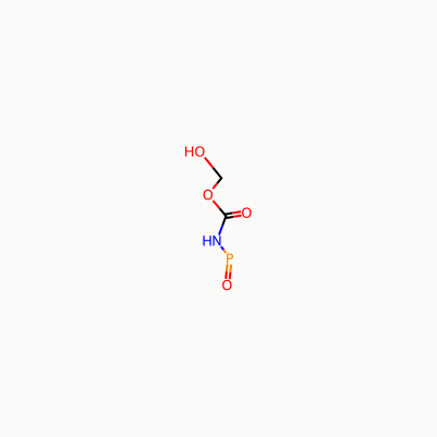 O=PNC(=O)OCO